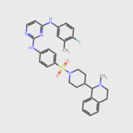 Cc1cc(Nc2ccnc(Nc3ccc(S(=O)(=O)N4CCC(C5c6ccccc6CCN5C)CC4)cc3)n2)ccc1F